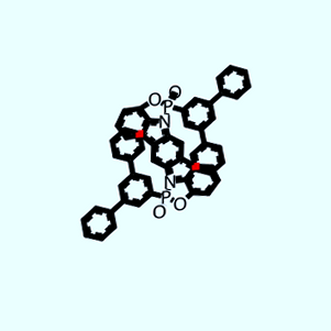 O=P1(c2cc(-c3ccccc3)cc(-c3ccccc3)c2)Oc2cccc3c4cc5c(cc4n1c23)c1cccc2c1n5P(=O)(c1cc(-c3ccccc3)cc(-c3ccccc3)c1)O2